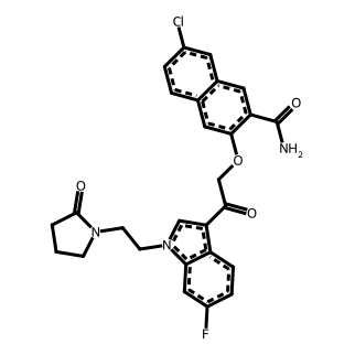 NC(=O)c1cc2cc(Cl)ccc2cc1OCC(=O)c1cn(CCN2CCCC2=O)c2cc(F)ccc12